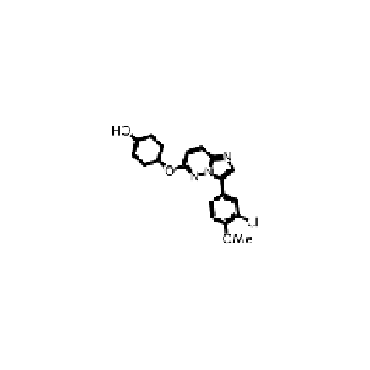 COc1ccc(-c2cnc3ccc(OC4CCC(O)CC4)nn23)cc1Cl